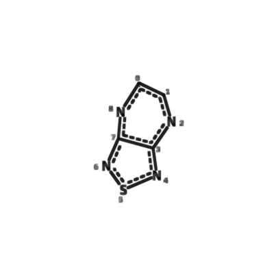 [c]1cnc2nsnc2n1